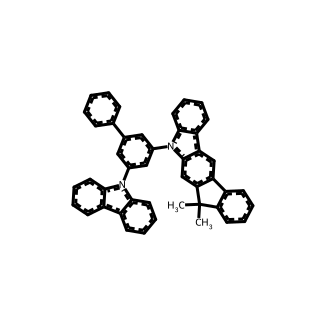 CC1(C)c2ccccc2-c2cc3c4ccccc4n(-c4cc(-c5ccccc5)cc(-n5c6ccccc6c6ccccc65)c4)c3cc21